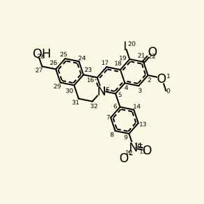 COc1cc2c(-c3ccc([N+](=O)[O-])cc3)n3c(cc-2c(I)c1=O)-c1ccc(CO)cc1CC3